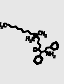 CCCCCCCCCC[Si](C)(C)CCCC(=O)C(c1ccccc1)C(N)Cc1ccccc1